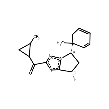 CC1([C@@H]2C[C@H](F)c3nc(C(=O)C4CC4C(F)(F)F)nn32)C=CC=CC1